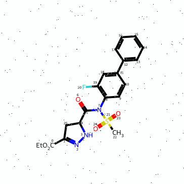 CCOC(=O)C1=NNC(C(=O)N(c2ccc(-c3ccccc3)cc2F)S(C)(=O)=O)C1